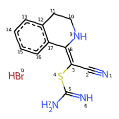 Br.N#CC(SC(=N)N)=C1NCCc2ccccc21